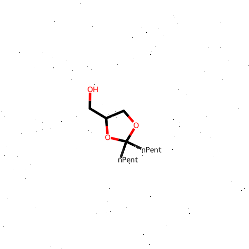 CCCCCC1(CCCCC)OCC(CO)O1